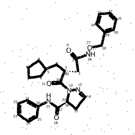 O=C(C[C@@H](CC1CCCC1)C(=O)N1N=CC[C@H]1C(=O)Nc1ccccc1)NOCc1ccccc1